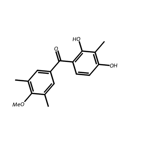 COc1c(C)cc(C(=O)c2ccc(O)c(C)c2O)cc1C